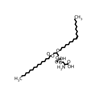 CCCCCCCC/C=C\CCCCCCCCOC(COC(=O)CCCCCCCCCCCCCCC)COP(=O)(O)OCC(N)C(=O)O